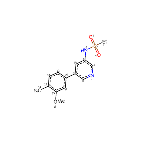 CCS(=O)(=O)Nc1cncc(-c2ccc(C#N)c(OC)c2)c1